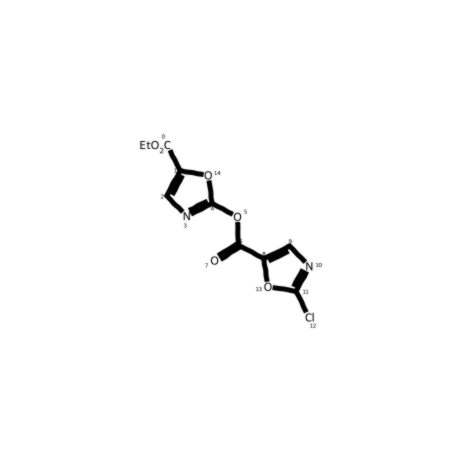 CCOC(=O)c1cnc(OC(=O)c2cnc(Cl)o2)o1